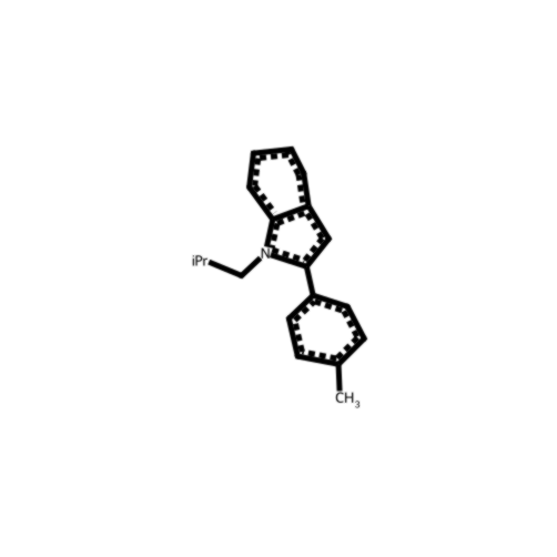 Cc1ccc(-c2cc3ccccc3n2CC(C)C)cc1